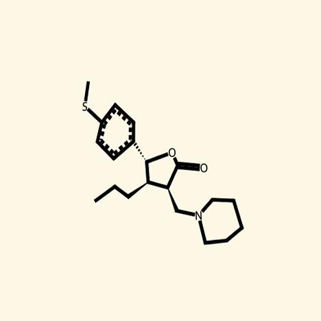 CCC[C@@H]1[C@H](CN2CCCCC2)C(=O)O[C@H]1c1ccc(SC)cc1